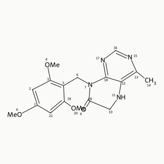 COc1cc(OC)c(CN2C(=O)CNc3c(C)ncnc32)c(OC)c1